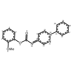 COc1ccccc1OC(=O)/N=c1\ccn(-c2ccccc2)nc1